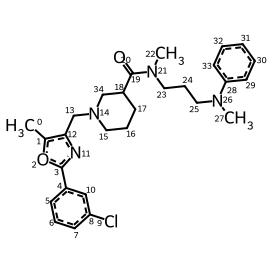 Cc1oc(-c2cccc(Cl)c2)nc1CN1CCCC(C(=O)N(C)CCCN(C)c2ccccc2)C1